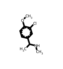 CNC(C)c1ccc(OC)c(Cl)c1